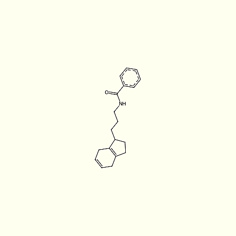 O=C(NCCCC1CCC2=C1CC=CC2)c1ccccc1